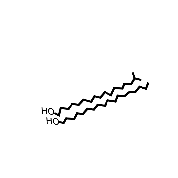 CC(C)CCCCCCCCCCCCCCCO.CCCCCCCCCCCCCCCCCCO